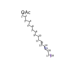 CC(=O)OCCCCCCCCCCCCC/C=C/CCI